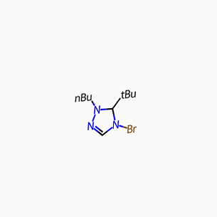 CCCCN1N=CN(Br)C1C(C)(C)C